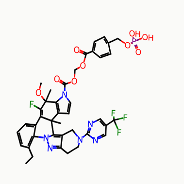 CCc1cccc2c1-n1nc3c(c1C1(C)C2=C(F)C(C)(OC)c2c1ccn2C(=O)OCOC(=O)c1ccc(COP(=O)(O)O)cc1)CN(c1ncc(C(F)(F)F)cn1)CC3